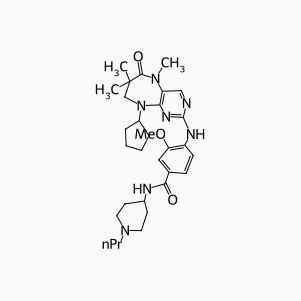 CCCN1CCC(NC(=O)c2ccc(Nc3ncc4c(n3)N(C3CCCC3)CC(C)(C)C(=O)N4C)c(OC)c2)CC1